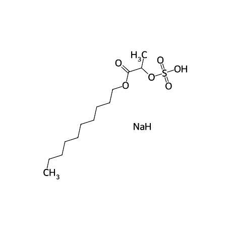 CCCCCCCCCCOC(=O)C(C)OS(=O)(=O)O.[NaH]